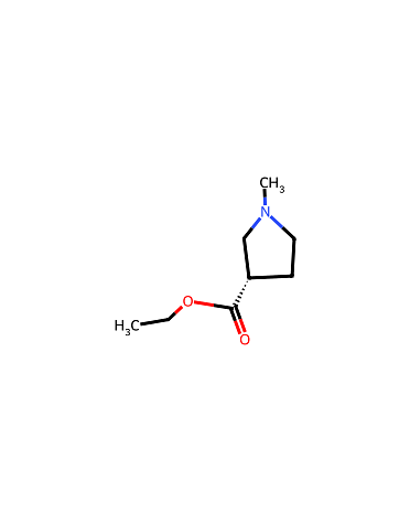 CCOC(=O)[C@H]1CCN(C)C1